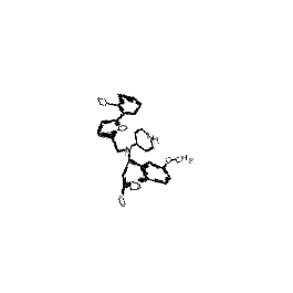 COc1ccc2oc(=O)cc(N(Cc3ccc(-c4ccccc4Cl)o3)C3CCNCC3)c2c1